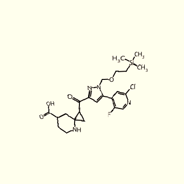 C[Si](C)(C)CCOCn1nc(C(=O)C2CC23CC(C(=O)O)CCN3)cc1-c1cc(Cl)ncc1F